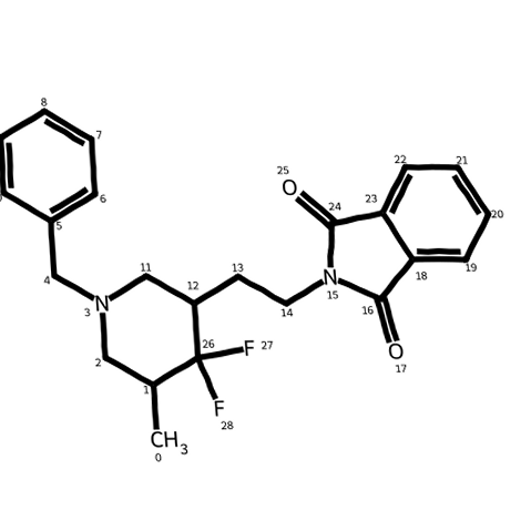 CC1CN(Cc2ccccc2)CC(CCN2C(=O)c3ccccc3C2=O)C1(F)F